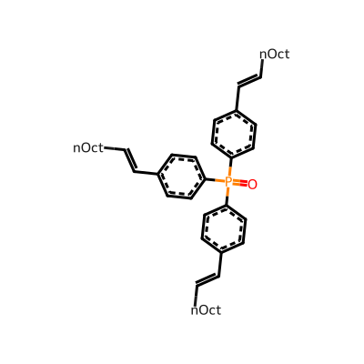 CCCCCCCCC=Cc1ccc(P(=O)(c2ccc(C=CCCCCCCCC)cc2)c2ccc(C=CCCCCCCCC)cc2)cc1